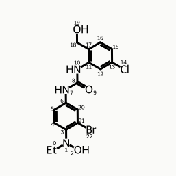 CCN(O)c1ccc(NC(=O)Nc2cc(Cl)ccc2CO)cc1Br